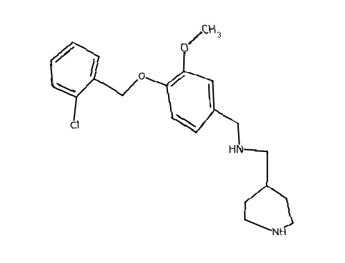 COc1cc(CNCC2CCNCC2)ccc1OCc1ccccc1Cl